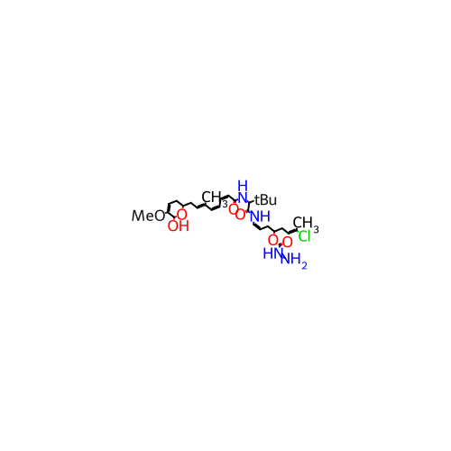 COC1=CCC(C/C=C(C)/C=C\C=C/C(=O)NC(C(=O)N/C=C\CC(C/C=C(\C)Cl)OC(=O)NN)C(C)(C)C)OC1O